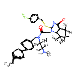 [2H]C1([2H])C2C(=O)N=C(SCc3ccc(F)cc3)N(CC(=O)N(Cc3ccc(-c4ccc(C(F)(F)F)cc4)cc3)C([2H])([2H])C([2H])([2H])N(CC)CC)C2C([2H])([2H])C1([2H])C